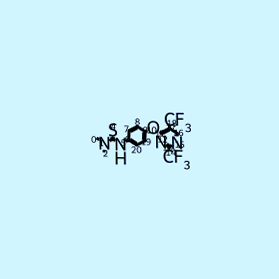 CN(C)C(=S)Nc1ccc(Oc2nc(C(F)(F)F)ncc2C(F)(F)F)cc1